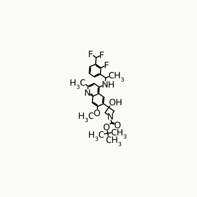 COc1cc2nc(C)cc(NC(C)c3cccc(C(F)F)c3F)c2cc1C1(O)CN(C(=O)OC(C)(C)C)C1